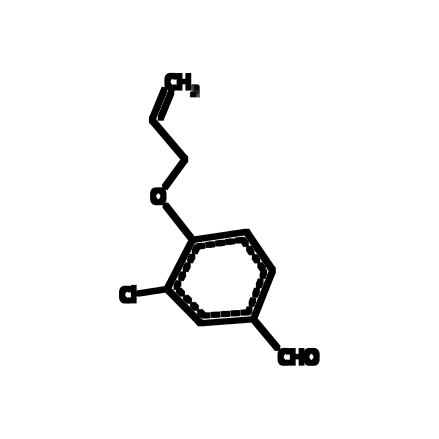 C=CCOc1ccc(C=O)cc1Cl